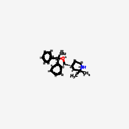 CC1(C)C[C@H](CO[Si](c2ccccc2)(c2ccccc2)C(C)(C)C)CCN1